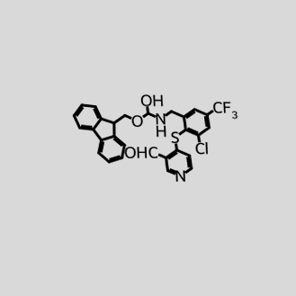 O=Cc1cnccc1Sc1c(Cl)cc(C(F)(F)F)cc1CNC(O)OCC1c2ccccc2-c2ccccc21